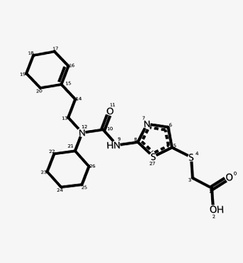 O=C(O)CSc1cnc(NC(=O)N(CCC2=CCCCC2)C2CCCCC2)s1